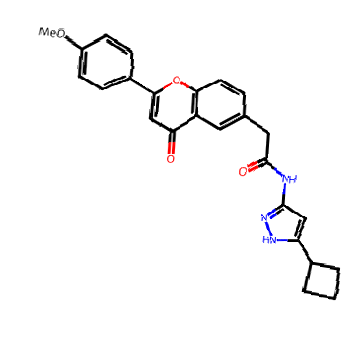 COc1ccc(-c2cc(=O)c3cc(CC(=O)Nc4cc(C5CCC5)[nH]n4)ccc3o2)cc1